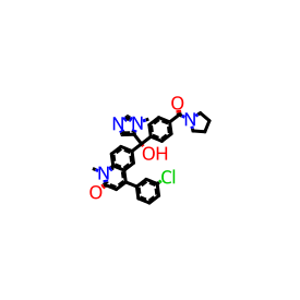 Cn1cncc1C(O)(c1ccc(C(=O)N2CCCC2)cc1)c1ccc2c(c1)c(-c1cccc(Cl)c1)cc(=O)n2C